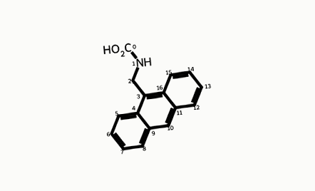 O=C(O)N[CH]c1c2ccccc2cc2ccccc12